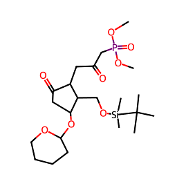 COP(=O)(CC(=O)CC1C(=O)CC(OC2CCCCO2)C1CO[Si](C)(C)C(C)(C)C)OC